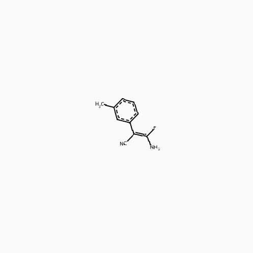 Cc1cccc(C(C#N)=C(N)F)c1